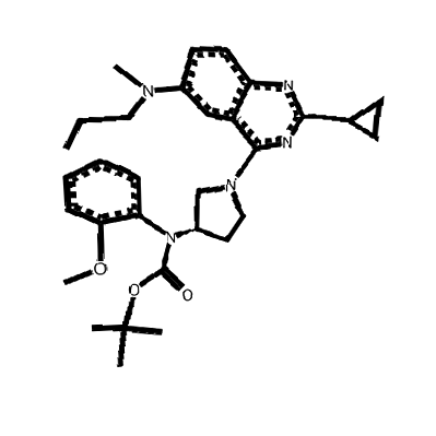 CCCN(C)c1ccc2nc(C3CC3)nc(N3CC[C@@H](N(C(=O)OC(C)(C)C)c4ccccc4OC)C3)c2c1